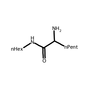 CCCCCCNC(=O)C(N)CCCCC